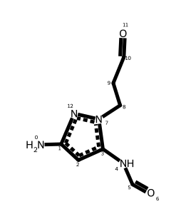 Nc1cc(NC=O)n(CCC=O)n1